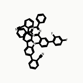 N#Cc1ccccc1-c1ccc2c3ccc(-c4ccccc4C#N)cc3n(-c3ccc(-c4ccc(F)cc4F)cc3-c3nc(-c4ccccc4)nc(-c4ccccc4)n3)c2c1